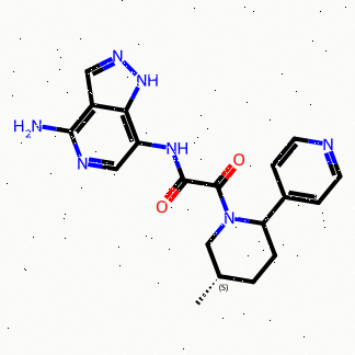 C[C@H]1CCC(c2ccncc2)N(C(=O)C(=O)Nc2cnc(N)c3cn[nH]c23)C1